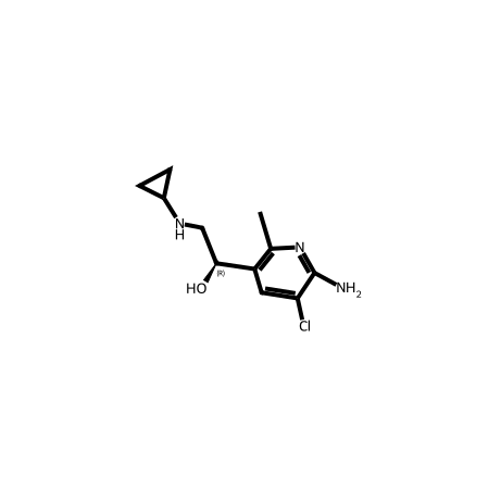 Cc1nc(N)c(Cl)cc1[C@@H](O)CNC1CC1